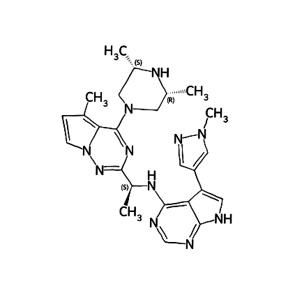 Cc1ccn2nc([C@H](C)Nc3ncnc4[nH]cc(-c5cnn(C)c5)c34)nc(N3C[C@@H](C)N[C@@H](C)C3)c12